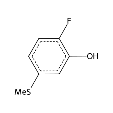 CSc1ccc(F)c(O)c1